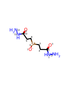 NNC(=O)CC[S+]([O-])CCC(=O)NN